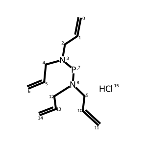 C=CCN(CC=C)[P]N(CC=C)CC=C.Cl